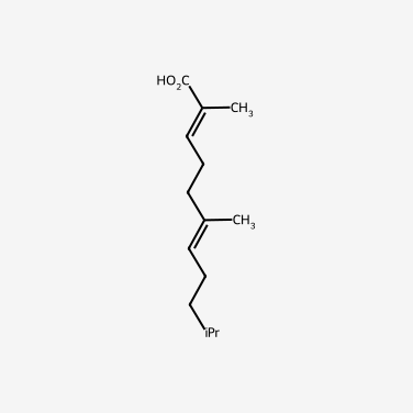 C/C(=C\CCC(C)C)CC/C=C(\C)C(=O)O